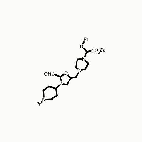 CCOC(=O)C(OCC)N1CCN(CC2CN(C3CCN(C(C)C)CC3)C(C=O)O2)CC1